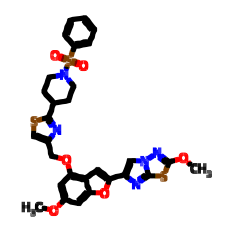 COc1cc(OCc2csc(C3CCN(S(=O)(=O)c4ccccc4)CC3)n2)c2cc(-c3cn4nc(OC)sc4n3)oc2c1